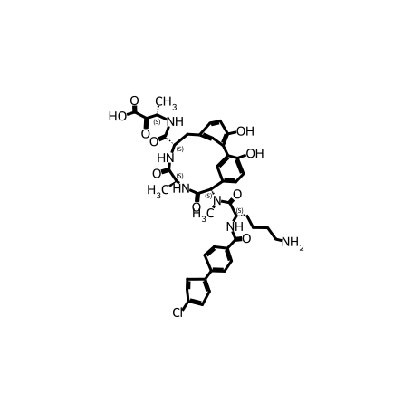 C[C@@H]1NC(=O)[C@@H](N(C)C(=O)[C@H](CCCCN)NC(=O)c2ccc(-c3ccc(Cl)cc3)cc2)c2ccc(O)c(c2)-c2cc(ccc2O)C[C@@H](C(=O)N[C@@H](C)C(=O)C(=O)O)NC1=O